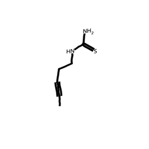 CC#CCCNC(N)=S